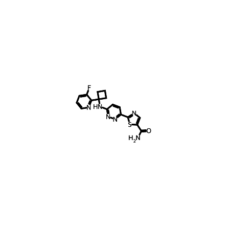 NC(=O)c1cnc(-c2ccc(NC3(c4ncccc4F)CCC3)nn2)s1